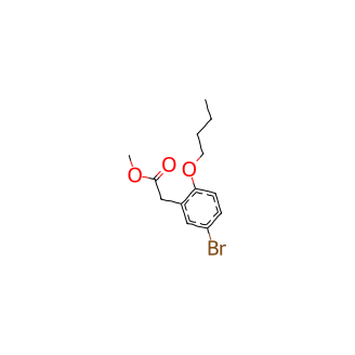 CCCCOc1ccc(Br)cc1CC(=O)OC